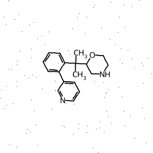 CC(C)(c1ccccc1-c1[c]nccc1)C1CNCCO1